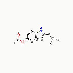 CC(=O)Oc1ccc2[nH]c(CC(C)C)cc2c1